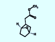 COC(=O)CC1C[C@H]2CC[C@@H]1O2